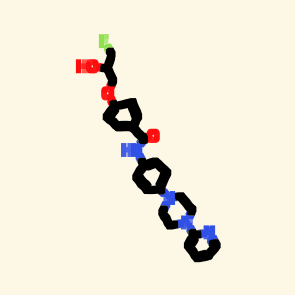 O=C(Nc1ccc(N2CCN(c3ccccn3)CC2)cc1)c1ccc(OCC(O)CF)cc1